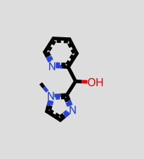 Cn1ccnc1C(O)c1ccccn1